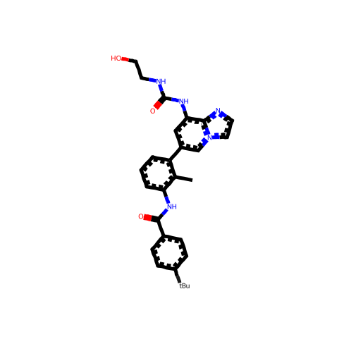 Cc1c(NC(=O)c2ccc(C(C)(C)C)cc2)cccc1-c1cc(NC(=O)NCCO)c2nccn2c1